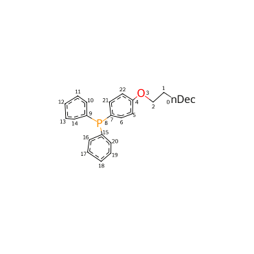 CCCCCCCCCCCCOc1ccc(P(c2ccccc2)c2ccccc2)cc1